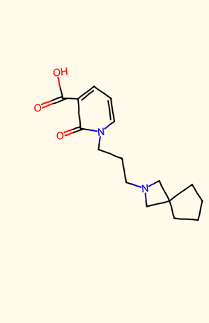 O=C(O)c1cccn(CCCN2CC3(CCCC3)C2)c1=O